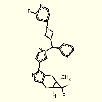 C[C@@]12Cc3c(cnn3-c3cnn([C@H](c4ccccc4)C4CN(c5ccnc(F)c5)C4)c3)C[C@@H]1C2(F)F